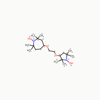 CC1(C)CCC(OCCOC2CC(C)(C)N(O)C2(C)C)CC(C)(C)N1O